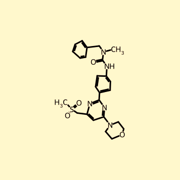 CN(Cc1ccccc1)C(=O)Nc1ccc(-c2nc(CS(C)(=O)=O)cc(N3CCOCC3)n2)cc1